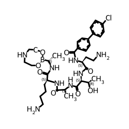 C[C@H](NC(=O)[C@H](CCCCN)NC(=O)[C@H](C)NC(=O)[C@@H](NC(=O)[C@H](CCN)NC(=O)c1ccc(-c2ccc(Cl)cc2)cc1)[C@@H](C)O)B1OCCNCCO1